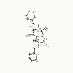 O=C(O)C(CCc1ccccc1)NCC(=O)N1C[C@H]([C@@H]2CCCCO2)C[C@H]1C(=O)O